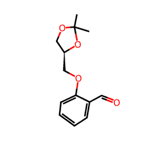 CC1(C)OC[C@H](COc2ccccc2C=O)O1